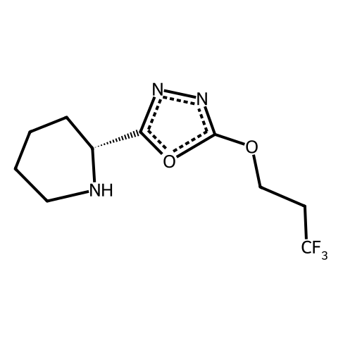 FC(F)(F)CCOc1nnc([C@H]2CCCCN2)o1